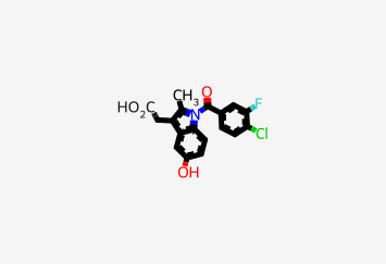 Cc1c(CC(=O)O)c2cc(O)ccc2n1C(=O)c1ccc(Cl)c(F)c1